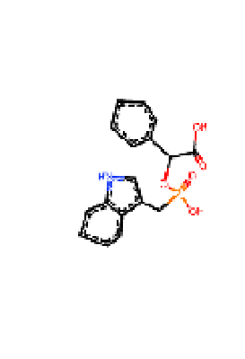 O=C(O)C(OP(=O)(O)Cc1c[nH]c2ccccc12)c1ccccc1